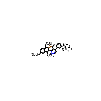 Cc1c2c(c(CC(C)(C)C)c3ccc(CC(C)(C)C)cc13)Sc1cc3ccc([Si](C)(C)C)cc3c3cc[n+](C)c-2c13